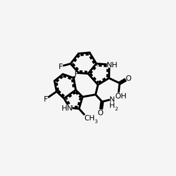 Cc1[nH]c2c(F)ccc(F)c2c1C(C(N)=O)c1c(C(=O)O)[nH]c2ccc(F)cc12